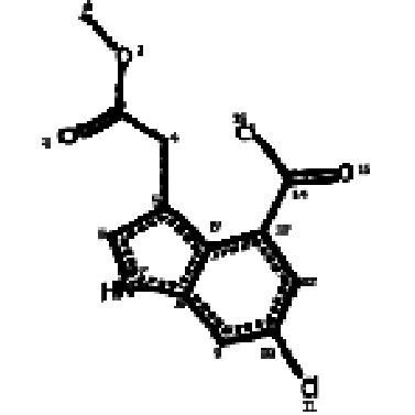 COC(=O)Cc1c[nH]c2cc(Cl)cc(C(=O)Cl)c12